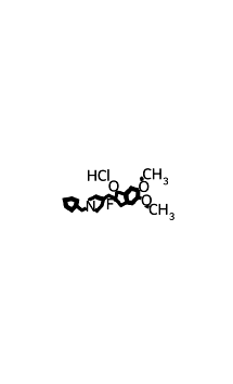 CCOc1cc2c(cc1OCC)C(=O)C(F)(CC1=CCN(Cc3ccccc3)CC1)C2.Cl